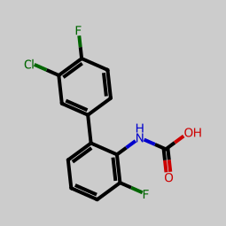 O=C(O)Nc1c(F)cccc1-c1ccc(F)c(Cl)c1